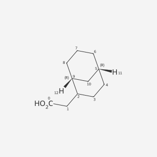 O=C(O)CC1CC[C@H]2CCC[C@@H]1C2